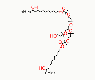 CCCCCCC(O)CCCCCCCCCCOC(=O)C(C)(C)OCCC(C)(C)OCC(COC(C)(C)CCO)OC(C)(C)CCOC(C)(C)C(=O)OCCCCCCCCCCC(O)CCCCCC